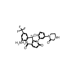 C[C@H](c1cc(N)cc(C(F)(F)F)c1)c1c(C(N)=O)ccc(=O)n1-c1cccc(N2CCNCC2=O)c1